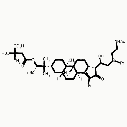 CCCC[C@H](OC(=O)CC(C)(C)C(=O)O)C(C)(C)[C@@H]1CC[C@]2(C)[C@H](CC[C@@H]3C4=C(C(C)C)C(=O)[C@@H]([C@@H](O)CN(CCNC(C)=O)C(C)C)C4CC[C@]32C)C1